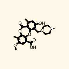 COc1cc(C(=O)O)c2c(c1C)OC(=O)c1c(C)cc(O)c(CN3CCNCC3)c1O2